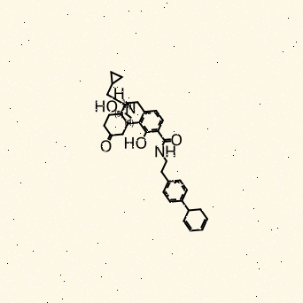 O=C1CC[C@@]2(O)[C@H]3Cc4ccc(C(=O)NCCc5ccc(C6C=CC=CC6)cc5)c(O)c4[C@@]2(CCN3CC2CC2)C1